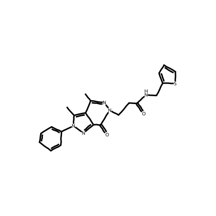 Cc1nn(CCC(=O)NCc2cccs2)c(=O)c2nn(-c3ccccc3)c(C)c12